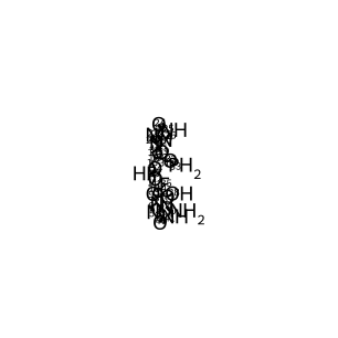 Nc1nc2c(ncn2[C@@H]2O[C@H](COPOC[C@H]3C[C@H](n4cnc5c(=O)[nH]cnc54)O[C@@H]3COP)[C@@H](F)[C@H]2OO)c(=O)[nH]1